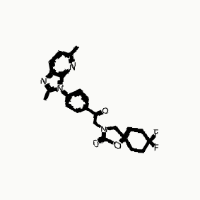 Cc1ccc2nc(C)n(-c3ccc(C(=O)CN4CC5(CCC(F)(F)CC5)OC4=O)cc3)c2n1